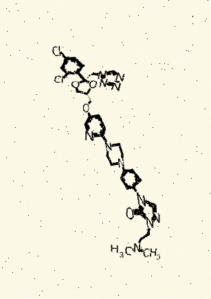 CN(C)CCn1ncn(-c2ccc(N3CCN(c4ccc(OC[C@@H]5CO[C@@](Cn6cnnn6)(c6ccc(Cl)cc6Cl)O5)cn4)CC3)cc2)c1=O